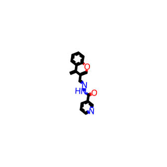 C=C1C(/C=N/NC(=O)c2cccnc2)=COc2ccccc21